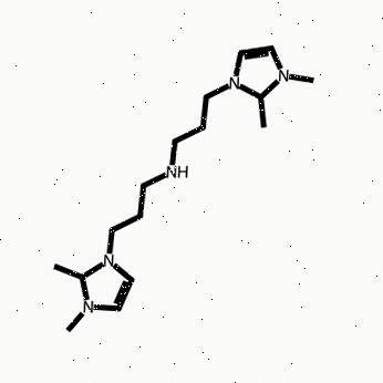 CC1N(C)C=CN1CCCNCCCN1C=CN(C)C1C